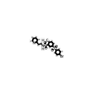 Cc1ccc(S(=O)(=O)c2ccc(Br)cc2)cc1S(=O)(=O)NCCc1ccccn1